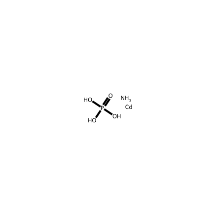 N.O=P(O)(O)O.[Cd]